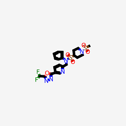 CS(=O)(=O)N1CCC(S(=O)(=O)N(Cc2ccc(-c3nnc(C(F)F)o3)cn2)c2ccccc2)CC1